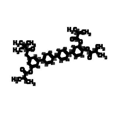 C=C(C)C(=O)Oc1cc(CC(=O)C(C)(C)C)cc(-c2ccc(-c3ccc(-c4ccc(OC(=O)C(=C)C)c(OC(=O)C(=C)C)c4)cc3)cc2)c1